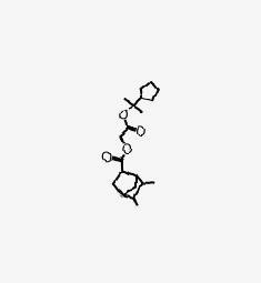 CC1C2CC(C(=O)OCC(=O)OC(C)(C)C3CCCC3)C(C2)C1C